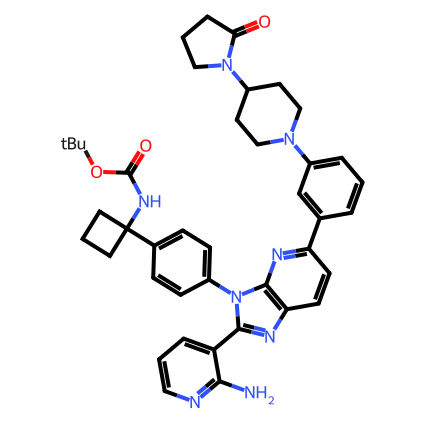 CC(C)(C)OC(=O)NC1(c2ccc(-n3c(-c4cccnc4N)nc4ccc(-c5cccc(N6CCC(N7CCCC7=O)CC6)c5)nc43)cc2)CCC1